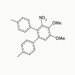 COc1cc(-c2ccc(C)cc2)c(-c2ccc(C)cc2)c([N+](=O)[O-])c1OC